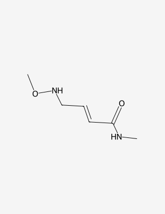 CNC(=O)/C=C/CNOC